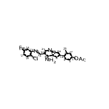 CC(=O)Oc1ccc(-c2cc3c(N)c(/C=N/c4cc(F)ccc4Cl)cnn3c2)c(C)c1